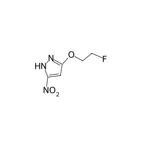 O=[N+]([O-])c1cc(OCCF)n[nH]1